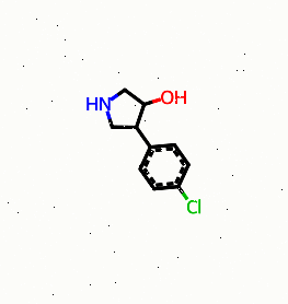 OC1CNCC1c1ccc(Cl)cc1